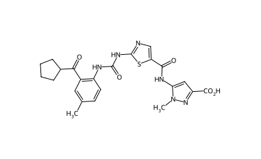 Cc1ccc(NC(=O)Nc2ncc(C(=O)Nc3cc(C(=O)O)nn3C)s2)c(C(=O)C2CCCC2)c1